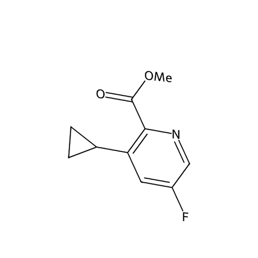 COC(=O)c1ncc(F)cc1C1CC1